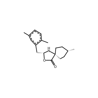 Cc1ccc(C)c(C[C@@H]2N[C@]3(CC[C@@H](C)CC3)C(=O)O2)c1